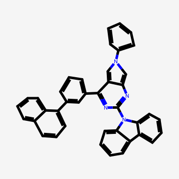 c1ccc(-n2cc3nc(-n4c5ccccc5c5ccccc54)nc(-c4cccc(-c5cccc6ccccc56)c4)c3c2)cc1